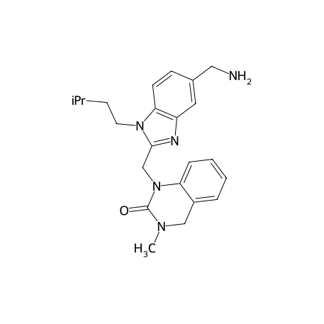 CC(C)CCn1c(CN2C(=O)N(C)Cc3ccccc32)nc2cc(CN)ccc21